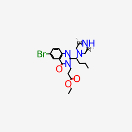 CCCC(c1nc2ccc(Br)cc2c(=O)n1CCC(=O)OCC)N1C[C@@H](C)N[C@@H](C)C1